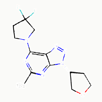 CC(C)(C)c1nc(N2CCC(F)(F)C2)c2nnn([C@@H]3CCOC3)c2n1